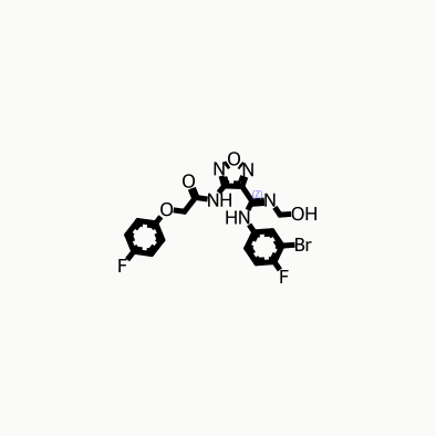 O=C(COc1ccc(F)cc1)Nc1nonc1/C(=N/CO)Nc1ccc(F)c(Br)c1